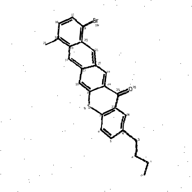 CCCCc1ccc2sc3cc4cc5c(C)ccc(Br)c5cc4cc3c(=O)c2c1